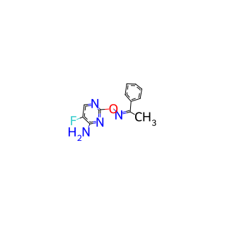 CC(=NOc1ncc(F)c(N)n1)c1ccccc1